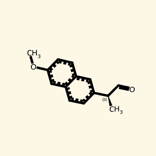 COc1ccc2cc([C@H](C)C=O)ccc2c1